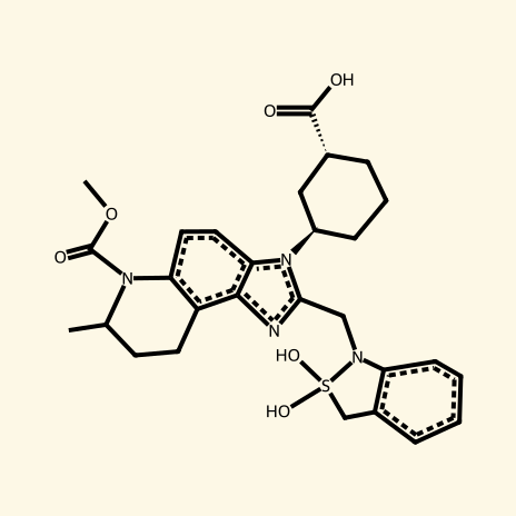 COC(=O)N1c2ccc3c(nc(CN4c5ccccc5CS4(O)O)n3[C@@H]3CCC[C@@H](C(=O)O)C3)c2CCC1C